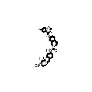 CCN1CCN(Cc2ccc(NC(=O)N3CCc4ccc(Oc5ncnn6cc(F)cc56)cc4C3)cc2C(F)(F)F)CC1